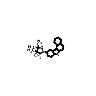 CC1(C)CB(c2ccc3sc4ccc5ccccc5c4c3c2)OC1(C)C